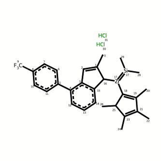 CC1=Cc2c(-c3ccc(C(F)(F)F)cc3)cccc2[CH]1[Zr]([C]1=C(C)C(C)=C(C)C1C)=[Si](C)C.Cl.Cl